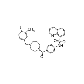 CC1=CC(CN2CCCN(C(=O)c3ccc(NS(=O)(=O)c4cccc5cccnc45)cc3)CC2)=CCC1I